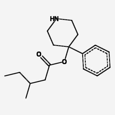 CCC(C)CC(=O)OC1(c2ccccc2)CCNCC1